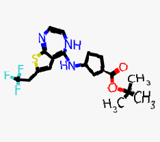 CC(C)(C)OC(=O)[C@@H]1CCC(NC2=c3cc(CC(F)(F)F)sc3=NC=CN2)C1